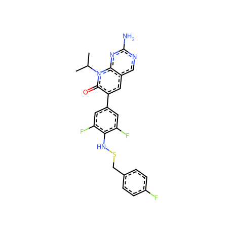 CC(C)n1c(=O)c(-c2cc(F)c(NSCc3ccc(F)cc3)c(F)c2)cc2cnc(N)nc21